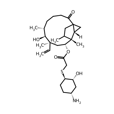 C=C[C@]1(C)C[C@@H](OC(=O)CS[C@@H]2CC[C@@H](N)C[C@H]2O)[C@]2(C)C(C)CC3(C[C@@H]32)C(=O)CCC[C@@H](C)[C@@H]1O